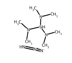 CN(C)[SiH](N(C)C)N(C)C.[N-]=[N+]=N